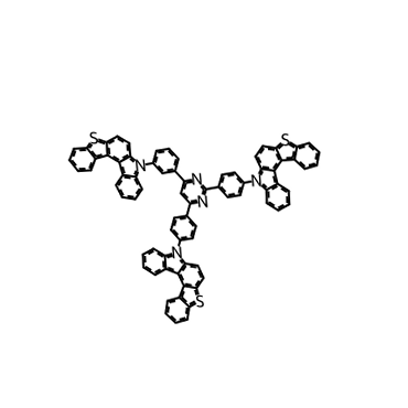 c1cc(-c2cc(-c3ccc(-n4c5ccccc5c5c6c(ccc54)sc4ccccc46)cc3)nc(-c3ccc(-n4c5ccccc5c5c6c(ccc54)sc4ccccc46)cc3)n2)cc(-n2c3ccccc3c3c4c(ccc32)sc2ccccc24)c1